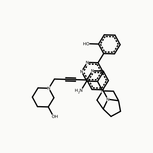 Nc1nnc(-c2ccccc2O)cc1N1CC2CCC(C1)N2c1ccnc(C#CCN2CCCC(O)C2)c1